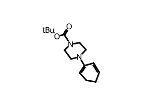 CC(C)(C)OC(=O)N1CCN(C2=CC[CH]C=C2)CC1